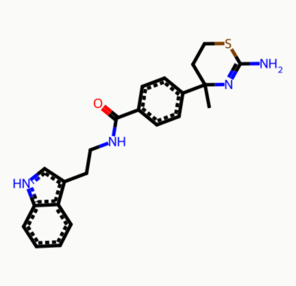 CC1(c2ccc(C(=O)NCCc3c[nH]c4ccccc34)cc2)CCSC(N)=N1